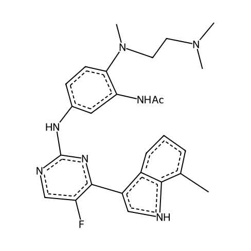 CC(=O)Nc1cc(Nc2ncc(F)c(-c3c[nH]c4c(C)cccc34)n2)ccc1N(C)CCN(C)C